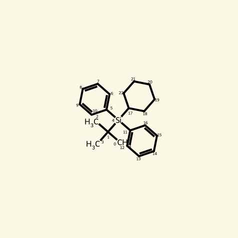 CC(C)(C)[Si](c1ccccc1)(c1ccccc1)C1CCCCC1